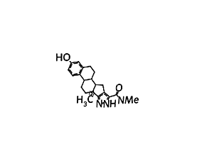 CNC(=O)c1[nH]nc2c1CC1C3CCc4cc(O)ccc4C3CC[C@]21C